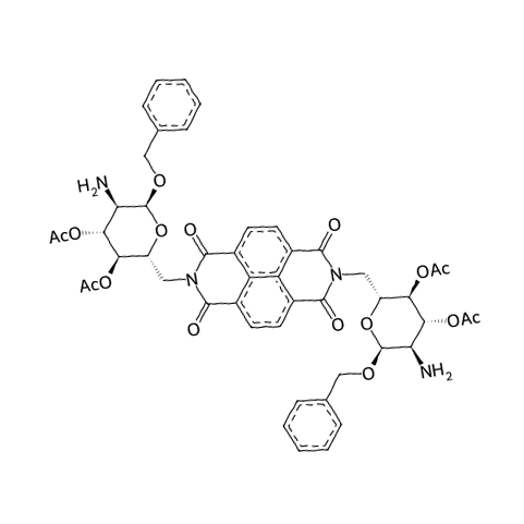 CC(=O)O[C@@H]1[C@@H](N)[C@@H](OCc2ccccc2)O[C@H](CN2C(=O)c3ccc4c5c(ccc(c35)C2=O)C(=O)N(C[C@H]2O[C@H](OCc3ccccc3)[C@H](N)[C@@H](OC(C)=O)[C@@H]2OC(C)=O)C4=O)[C@H]1OC(C)=O